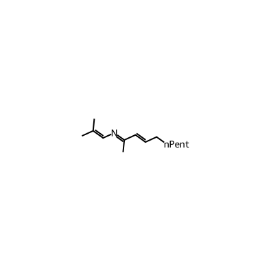 CCCCCC/C=C/C(C)=N/C=C(C)C